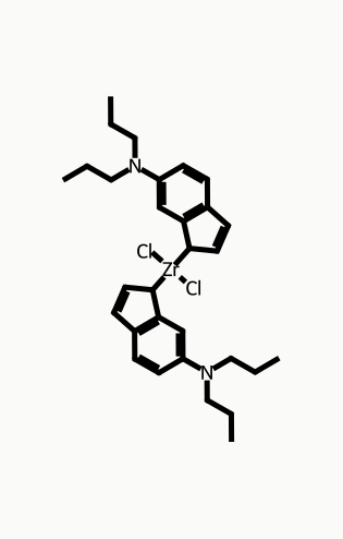 CCCN(CCC)c1ccc2c(c1)[CH]([Zr]([Cl])([Cl])[CH]1C=Cc3ccc(N(CCC)CCC)cc31)C=C2